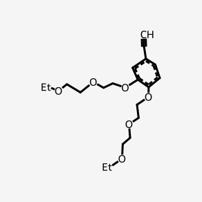 C#Cc1ccc(OCCOCCOCC)c(OCCOCCOCC)c1